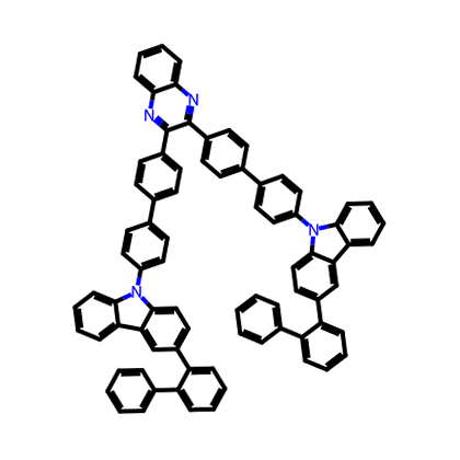 c1ccc(-c2ccccc2-c2ccc3c(c2)c2ccccc2n3-c2ccc(-c3ccc(-c4nc5ccccc5nc4-c4ccc(-c5ccc(-n6c7ccccc7c7cc(-c8ccccc8-c8ccccc8)ccc76)cc5)cc4)cc3)cc2)cc1